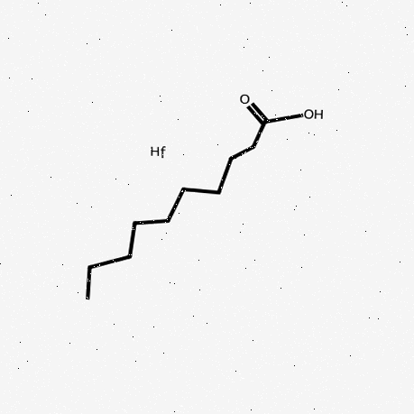 CCCCCCCCCC(=O)O.[Hf]